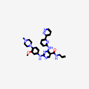 C=CCNC(=O)c1cnc(Nc2ccc(N3CCN(C)CC3)c(OC)c2)nc1Nc1cccc(-c2cccnn2)n1